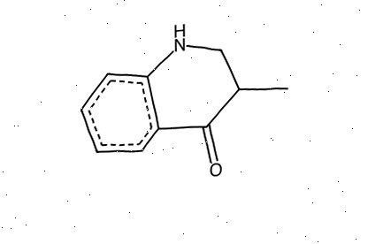 CC1CNc2ccccc2C1=O